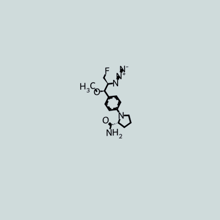 CO[C@H](c1ccc(N2CCC[C@@H]2C(N)=O)cc1)[C@@H](CF)N=[N+]=[N-]